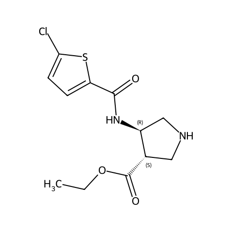 CCOC(=O)[C@H]1CNC[C@@H]1NC(=O)c1ccc(Cl)s1